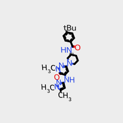 Cc1cc(Nc2cc(N3CCC[C@@H](NC(=O)c4ccc(C(C)(C)C)cc4)C3)nn(C)c2=O)nn1C